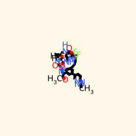 CC(=O)c1nn2c3c(cc(-c4ccc5nc(C)nn5c4)cc13)CCCCCCC(=O)NC[C@@]13C[C@@H](C(=O)Nc4nc(C(F)(F)F)ccc4C)N(C(=O)C2)[C@@H]1C3